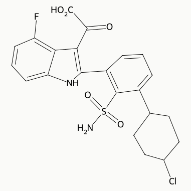 NS(=O)(=O)c1c(-c2[nH]c3cccc(F)c3c2C(=O)C(=O)O)cccc1C1CCC(Cl)CC1